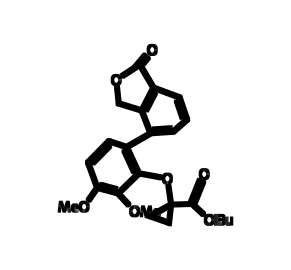 COc1ccc(-c2cccc3c2COC3=O)c(OC2(C(=O)OCC(C)C)CC2)c1OC